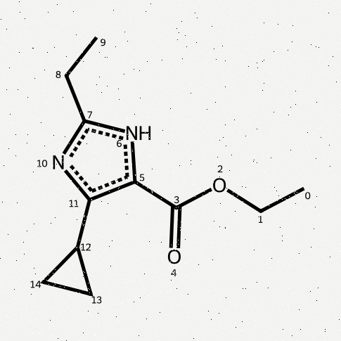 CCOC(=O)c1[nH]c(CC)nc1C1CC1